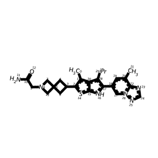 Cc1c(C2CC3(C2)CN(CC(N)=O)C3)sc2[nH]c(-c3cc(C)c4ncnn4c3)c(C(C)C)c12